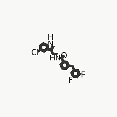 O=C(NCCc1c[nH]c2ccc(Cl)cc12)c1cccc(Cc2cc(F)cc(F)c2)c1